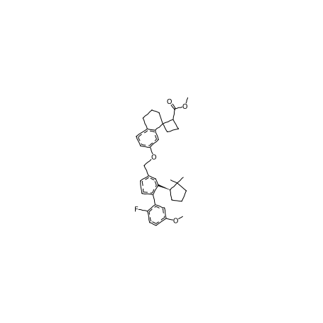 COC(=O)C1CCC12CCCc1ccc(OCc3ccc(-c4cc(OC)ccc4F)c([C@@H]4CCCC4(C)C)c3)cc12